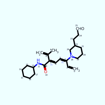 C=C/C(=C\C=C(/C(=C)C)C(=O)NC1CCCCC1)N1CCCC(CCC=O)C1